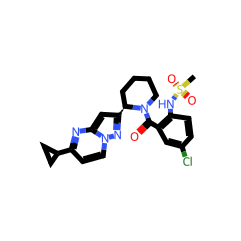 CS(=O)(=O)Nc1ccc(Cl)cc1C(=O)N1CCCC[C@H]1c1cc2nc(C3CC3)ccn2n1